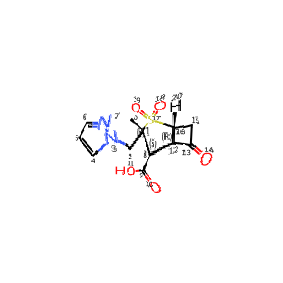 C[C@]1(Cn2cccn2)[C@H](C(=O)O)C2C(=O)C[C@H]2S1(=O)=O